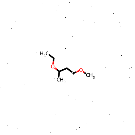 CCOC(C)C[CH]OC